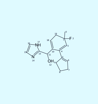 CC1(F)C=C(C2=CCCC2)C(C(O)c2ncc[nH]2)=CC1